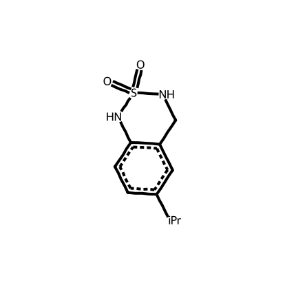 CC(C)c1ccc2c(c1)CNS(=O)(=O)N2